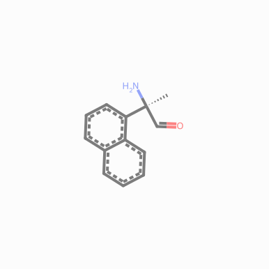 C[C@](N)(C=O)c1cccc2ccccc12